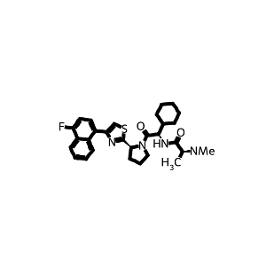 CN[C@@H](C)C(=O)N[C@H](C(=O)N1CCC[C@H]1c1nc(-c2ccc(F)c3ccccc23)cs1)C1CCCCC1